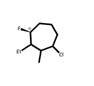 CCC1C(C)C(Cl)CCC[C@@H]1F